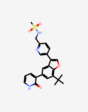 CC(C)(C)c1cc(-c2ccc[nH]c2=O)cc2c(-c3ccc(CNS(C)(=O)=O)nc3)coc12